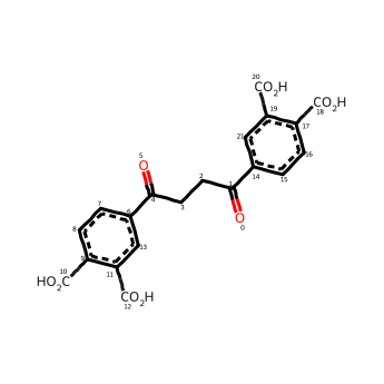 O=C(CCC(=O)c1ccc(C(=O)O)c(C(=O)O)c1)c1ccc(C(=O)O)c(C(=O)O)c1